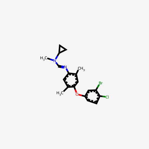 Cc1cc(Oc2ccc(Cl)c(Br)c2)c(C)cc1/N=C/N(C)C1CC1